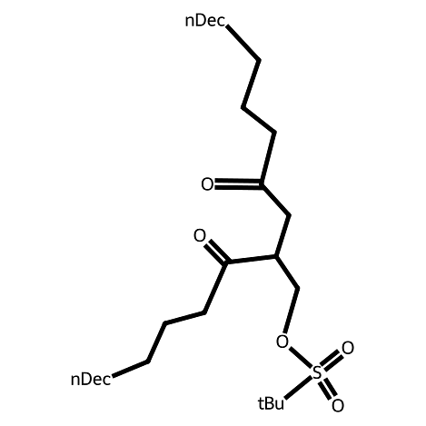 CCCCCCCCCCCCCC(=O)CC(COS(=O)(=O)C(C)(C)C)C(=O)CCCCCCCCCCCCC